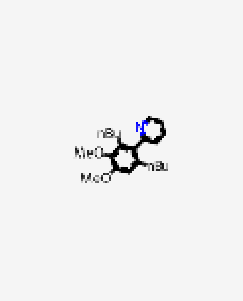 CCCCc1cc(OC)c(OC)c(CCCC)c1-c1ccccn1